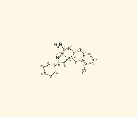 Nc1ncn(Cc2c(Cl)cccc2Cl)c2nc(C3CCSCC3)nc1-2